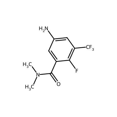 CN(C)C(=O)c1cc(N)cc(C(F)(F)F)c1F